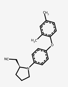 Cc1ccc(Oc2ccc(N3CCC[C@H]3CC#N)cc2)c(C)c1